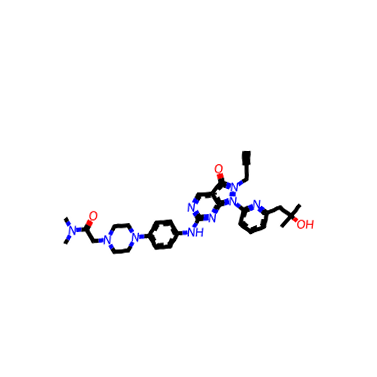 C#CCn1c(=O)c2cnc(Nc3ccc(N4CCN(CC(=O)N(C)C)CC4)cc3)nc2n1-c1cccc(CC(C)(C)O)n1